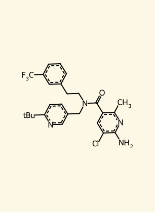 Cc1nc(N)c(Cl)cc1C(=O)N(CCc1cccc(C(F)(F)F)c1)Cc1ccc(C(C)(C)C)nc1